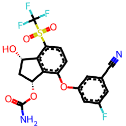 N#Cc1cc(F)cc(Oc2ccc(S(=O)(=O)C(F)(F)F)c3c2[C@H](OC(N)=O)C[C@@H]3O)c1